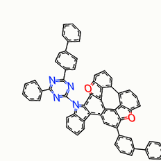 c1ccc(-c2ccc(-c3nc(-c4ccccc4)nc(-n4c5ccccc5c5c6cc(-c7cccc(-c8ccccc8)c7)c7oc8cccc9c8c7c6c6c(oc7cccc-9c76)c54)n3)cc2)cc1